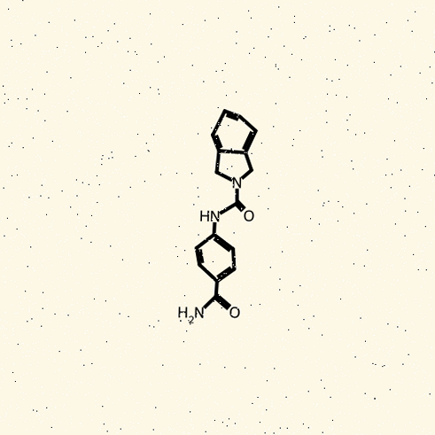 NC(=O)c1ccc(NC(=O)N2Cc3ccccc3C2)cc1